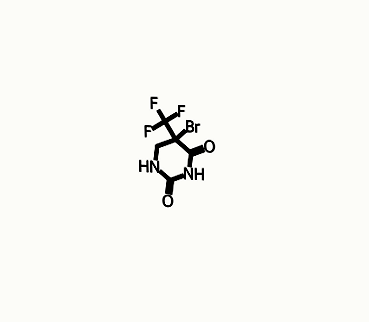 O=C1NCC(Br)(C(F)(F)F)C(=O)N1